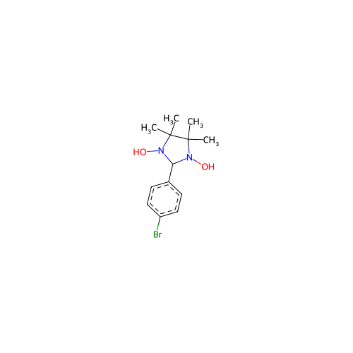 CC1(C)N(O)C(c2ccc(Br)cc2)N(O)C1(C)C